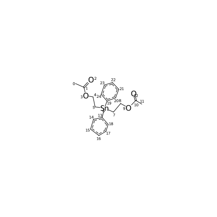 CC(=O)OC[CH2][Sn]([CH2]COC(C)=O)([c]1ccccc1)[c]1ccccc1